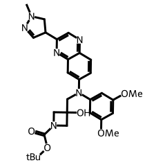 COc1cc(OC)cc(N(CC2(O)CN(C(=O)OC(C)(C)C)C2)c2ccc3ncc(C4C=NN(C)C4)nc3c2)c1